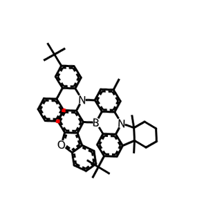 Cc1cc2c3c(c1)N1c4c(cc(C(C)(C)C)cc4C4(C)CCCCC14C)B3c1c(ccc3oc4ccccc4c13)N2c1ccc(C(C)(C)C)cc1-c1ccccc1